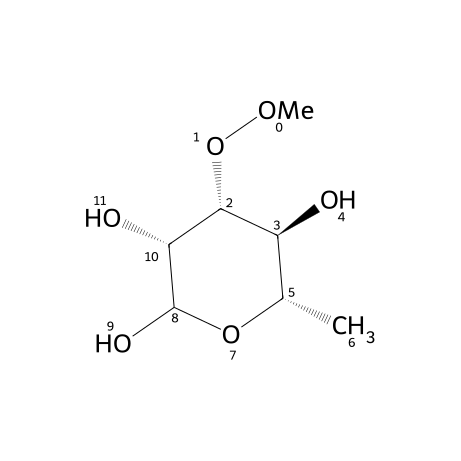 COO[C@@H]1[C@@H](O)[C@H](C)OC(O)[C@@H]1O